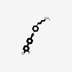 CCC/C=C/[C@H]1CC[C@H](C#Cc2ccc(-c3ccc(Cl)c(F)c3)cc2)CC1